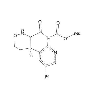 CC(C)(C)OC(=O)N1C(=O)C2NOCC[C@@H]2c2cc(Br)cnc21